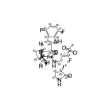 CS(=O)(=O)/C(F)=C/[C@H](C[C@@H]1CCNC1=O)NC(=O)[C@@H]1[C@H]2CC[C@H](CC2(F)F)N1C(=O)c1cc2c(F)ccc(F)c2[nH]1